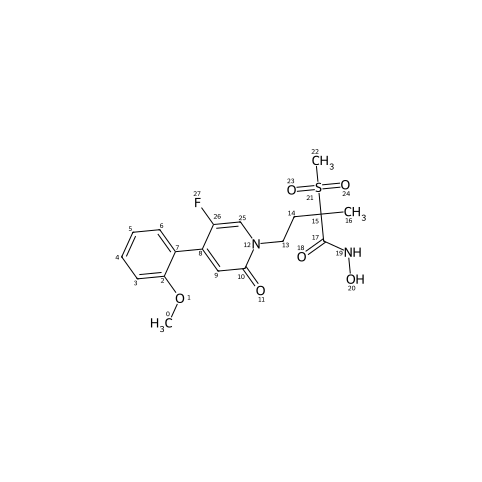 COc1ccccc1-c1cc(=O)n(CCC(C)(C(=O)NO)S(C)(=O)=O)cc1F